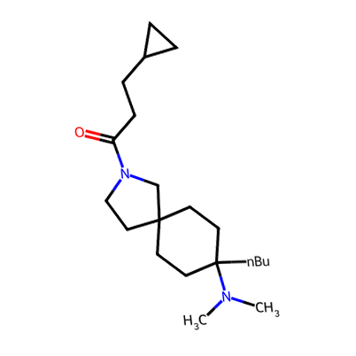 CCCCC1(N(C)C)CCC2(CCN(C(=O)CCC3CC3)C2)CC1